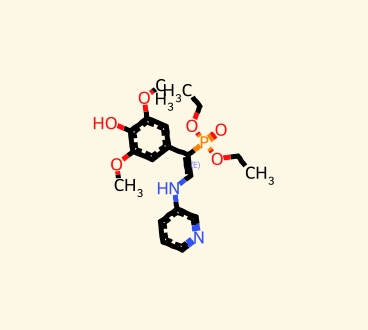 CCOP(=O)(OCC)/C(=C/Nc1cccnc1)c1cc(OC)c(O)c(OC)c1